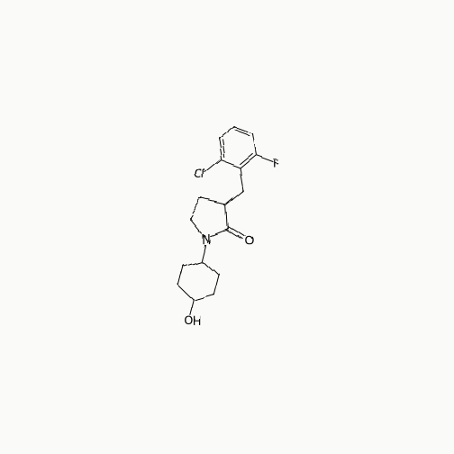 O=C1C(Cc2c(F)cccc2Cl)CCN1C1CCC(O)CC1